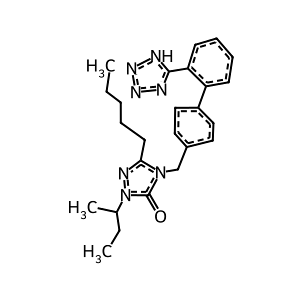 CCCCCc1nn(C(C)CC)c(=O)n1Cc1ccc(-c2ccccc2-c2nnn[nH]2)cc1